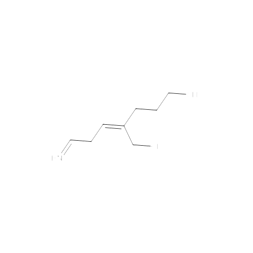 CCCC/C(=C/CC=N)CC